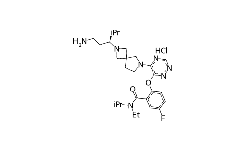 CCN(C(=O)c1cc(F)ccc1Oc1nncnc1N1CCC2(C1)CN([C@@H](CCN)C(C)C)C2)C(C)C.Cl